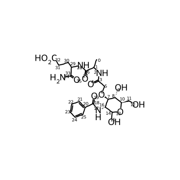 CC(NC(=O)CO[C@H]1[C@H](O)[C@@H](CO)OC(O)[C@@H]1NC(=O)c1ccccc1)C(=O)NC(CCC(=O)O)C(N)=O